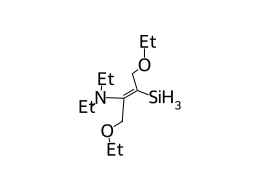 CCOCC([SiH3])=C(COCC)N(CC)CC